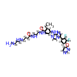 CCc1cc(Nc2nccn3c(-c4ccc(Oc5ccncn5)c(F)c4F)cnc23)ccc1C(=O)NCCCNC(=O)CCCNCCCN